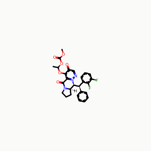 COC(=O)OC(C)Oc1c2n(ncc1=O)[C@@H]([C@H](c1ccccc1)c1cccc(F)c1F)[C@H]1CCCN1C2=O